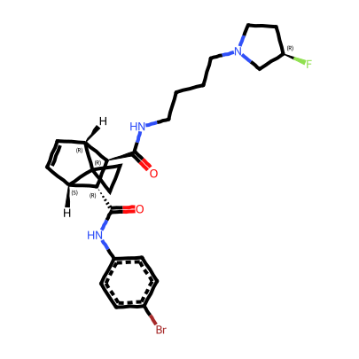 O=C(NCCCCN1CC[C@@H](F)C1)[C@H]1[C@H](C(=O)Nc2ccc(Br)cc2)[C@@H]2C=C[C@H]1C21CC1